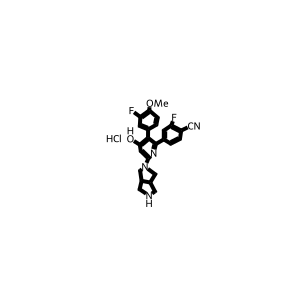 COc1ccc(-c2c(O)cc(N3CC4CNCC4C3)nc2-c2ccc(C#N)c(F)c2)cc1F.Cl